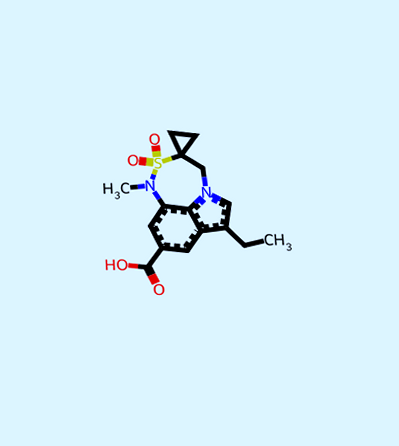 CCc1cn2c3c(cc(C(=O)O)cc13)N(C)S(=O)(=O)C1(CC1)C2